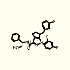 O=C(N[C@H](CO)c1ccccc1)c1nn(-c2ccc(F)cc2F)c2c1CCC2Cc1cccc(F)c1